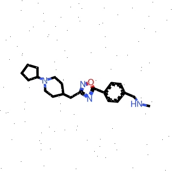 CNCc1ccc(-c2nc(CC3CCN(C4CCCC4)CC3)no2)cc1